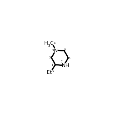 [CH2]CC1CN(C)CCN1